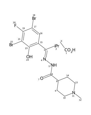 CC(=O)O.CC(C)/C(=N\NC(=O)C1CCN(C)CC1)c1cc(Br)c(F)c(Br)c1O